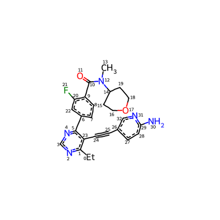 CCc1ncnc(-c2ccc(C(=O)N(C)C3CCOCC3)c(F)c2)c1C#Cc1ccc(N)nc1